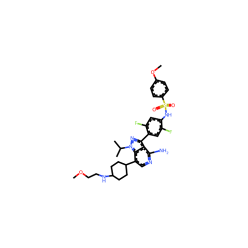 COCCNC1CCC(c2cnc(N)c3c(-c4cc(F)c(NS(=O)(=O)c5ccc(OC)cc5)cc4F)nn(C(C)C)c23)CC1